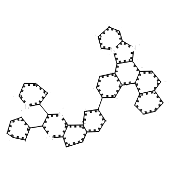 c1ccc(-c2nc3ccc4ccc(-c5ccc6c(c5)c5c7ccccc7ccc5c5nc7ccccn7c65)cc4c3nc2-c2ccccn2)cc1